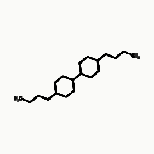 CCCCC1CCC(C2CCC(CCCC)CC2)CC1